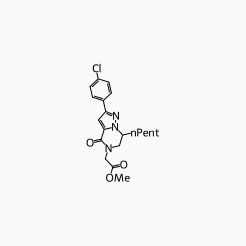 CCCCCC1CN(CC(=O)OC)C(=O)c2cc(-c3ccc(Cl)cc3)nn21